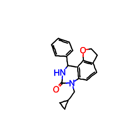 O=C1NC(c2ccccc2)c2c(ccc3c2OCC3)N1CC1CC1